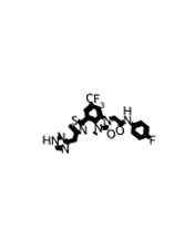 Cn1c(=O)n(CC(=O)Nc2ccc(F)cc2)c2cc(C(F)(F)F)cc(-c3nc(Cc4nc[nH]n4)cs3)c21